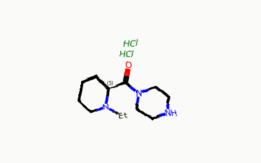 CCN1CCCC[C@H]1C(=O)N1CCNCC1.Cl.Cl